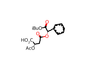 CC(=O)O[C@@H](CC(=O)O[C@H](C(=O)OCC(C)C)c1ccccc1)C(=O)O